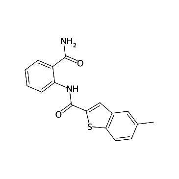 Cc1ccc2sc(C(=O)Nc3ccccc3C(N)=O)cc2c1